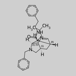 CC(C)C[C@@H]1[C@@H]2C=N[C@@]3(C(=O)NCCc4ccccc4)[C@@H](C2)CN(Cc2ccccc2)[C@@H]13